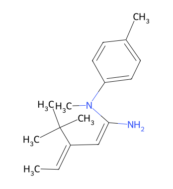 CC=C(/C=C(/N)N(C)c1ccc(C)cc1)C(C)(C)C